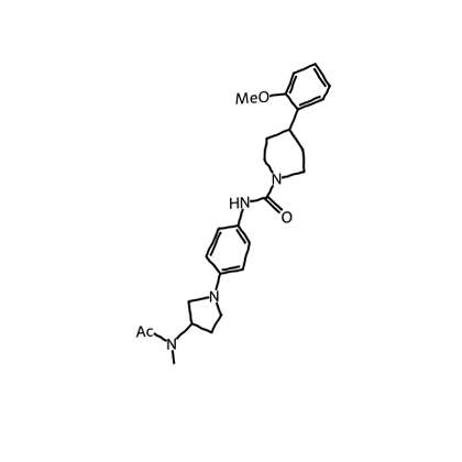 COc1ccccc1C1CCN(C(=O)Nc2ccc(N3CCC(N(C)C(C)=O)C3)cc2)CC1